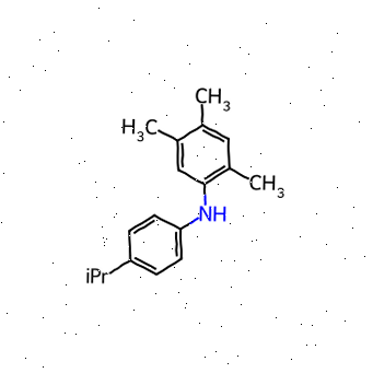 Cc1cc(C)c(Nc2ccc(C(C)C)cc2)cc1C